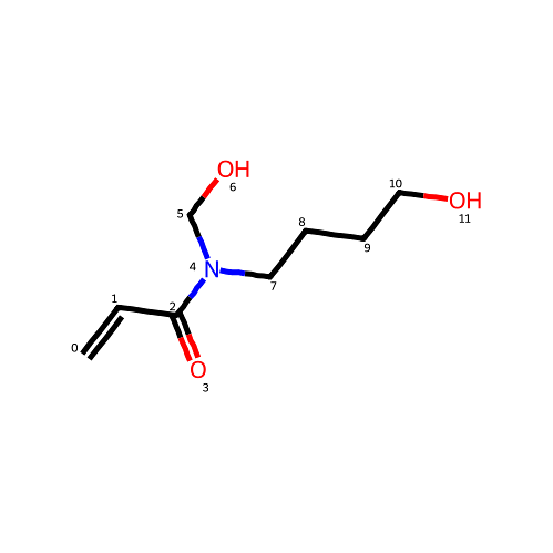 C=CC(=O)N(CO)CCCCO